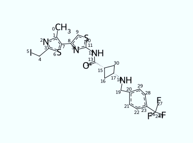 Cc1nc(CI)sc1-c1csc(NC(=O)[C@H]2C[C@@H](NCc3ccc(C(F)(F)F)cc3)C2)n1